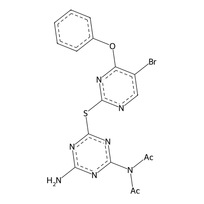 CC(=O)N(C(C)=O)c1nc(N)nc(Sc2ncc(Br)c(Oc3ccccc3)n2)n1